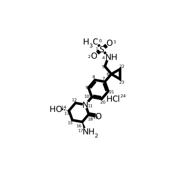 CS(=O)(=O)NCC1(c2ccc(N3C[C@@H](O)C[C@H](N)C3=O)cc2)CC1.Cl